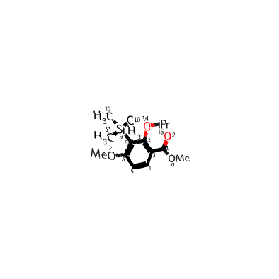 COC(=O)c1ccc(OC)c([Si](C)(C)C)c1OC(C)C